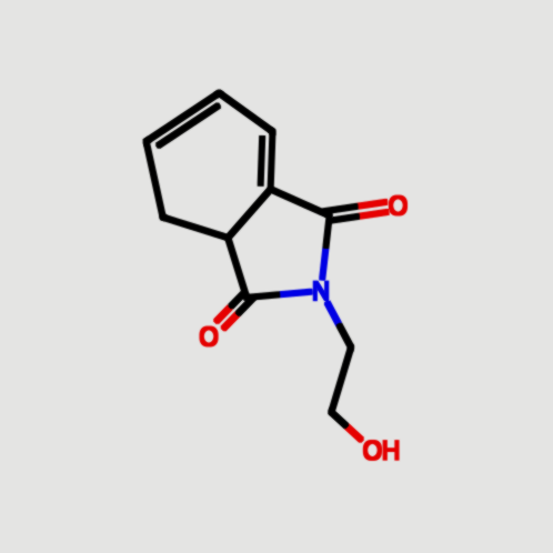 O=C1C2=CC=CCC2C(=O)N1CCO